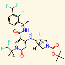 C[C@@H](NC(=O)c1cn(C2(C(F)F)CC2)c(=O)cc1NC1[C@H]2CN(C(=O)OC(C)(C)C)C[C@@H]12)c1cccc(C(F)F)c1F